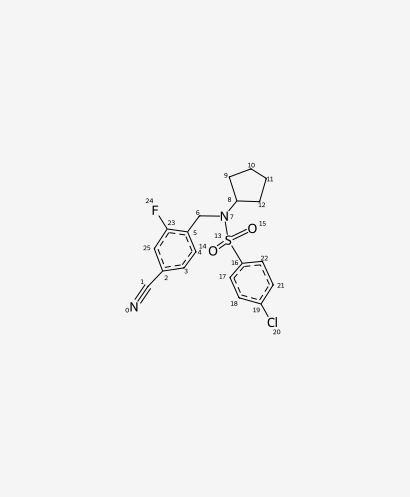 N#Cc1ccc(CN(C2CCCC2)S(=O)(=O)c2ccc(Cl)cc2)c(F)c1